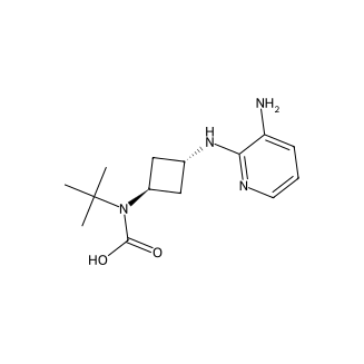 CC(C)(C)N(C(=O)O)[C@H]1C[C@H](Nc2ncccc2N)C1